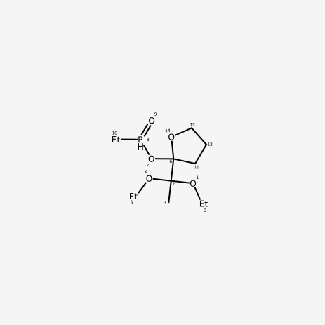 CCOC(C)(OCC)C1(O[PH](=O)CC)CCCO1